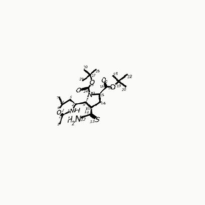 CC(=O)N[C@@H](CC(C)C)[C@H]1[C@H](C(N)=S)C[C@H](C(=O)OC(C)(C)C)N1C(=O)OC(C)(C)C